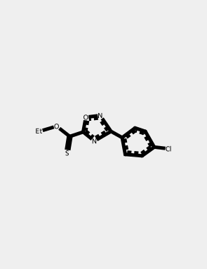 CCOC(=S)c1nc(-c2ccc(Cl)cc2)no1